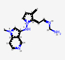 C=c1ccn(Nc2cn(C)c3ccncc23)/c1=C/C=N\CN